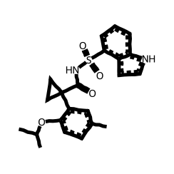 Cc1ccc(OC(C)C)c(C2(C(=O)NS(=O)(=O)c3cccc4[nH]ccc34)CC2)c1